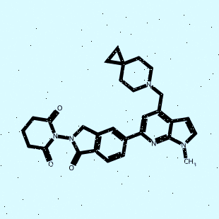 Cn1ccc2c(CN3CCC4(CC3)CC4)cc(-c3ccc4c(c3)CN(N3C(=O)CCCC3=O)C4=O)nc21